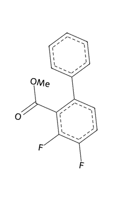 COC(=O)c1c(-c2ccccc2)ccc(F)c1F